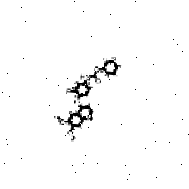 COc1cc2nccc(Oc3ccc(NC(=O)Oc4ccccc4)cc3F)c2cc1OC